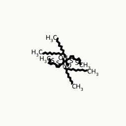 CCCCCCCCCCC(CCCCCCCC)CN1C(=O)C2=C(c3ccc(-c4ccc(C)s4)s3)N(CC(CCCCCCCC)CCCCCCCCCC)C(=O)C2=C1c1ccc(-c2ccc(C)s2)s1